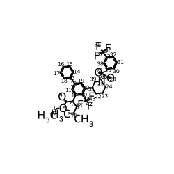 CCOC(=O)C(CC(C)C)c1cc(-c2ccccc2)cc(C2CCCN(S(=O)(=O)c3cccc(C(F)(F)F)c3)C2)c1C(F)(F)F